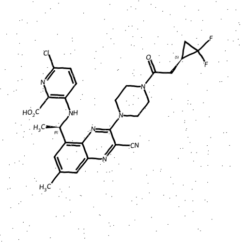 Cc1cc([C@@H](C)Nc2ccc(Cl)nc2C(=O)O)c2nc(N3CCN(C(=O)C[C@H]4CC4(F)F)CC3)c(C#N)nc2c1